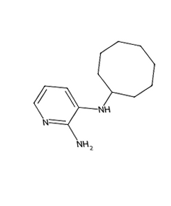 Nc1ncccc1NC1CCCCCCC1